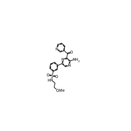 COCCNS(=O)(=O)c1cccc(-c2cnc(N)c(C(=O)c3cccnc3)n2)c1